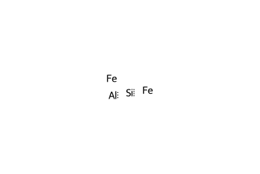 [Al].[Fe].[Fe].[Si]